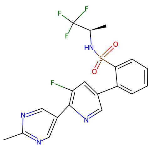 Cc1ncc(-c2ncc(-c3ccccc3S(=O)(=O)N[C@H](C)C(F)(F)F)cc2F)cn1